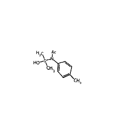 CC(=O)N(c1ccc(C)cc1)S(C)(C)O